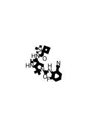 CC1(C)c2[nH]nc(NC(=O)C3([Si](C)(C)C)CCC3)c2CN1C(=O)Nc1c(F)cccc1C#N